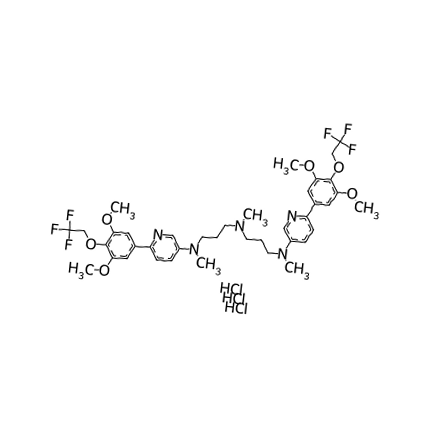 COc1cc(-c2ccc(N(C)CCCN(C)CCCN(C)c3ccc(-c4cc(OC)c(OCC(F)(F)F)c(OC)c4)nc3)cn2)cc(OC)c1OCC(F)(F)F.Cl.Cl.Cl